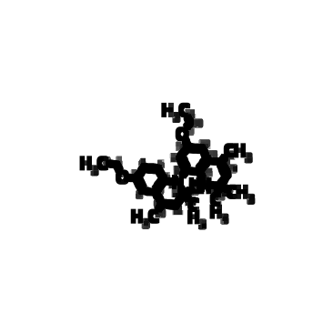 CCOc1ccc2c(c1)C(C)=CC(C)(C)N2c1cc(OCC)cc2c1NC(C)(C)C=C2C